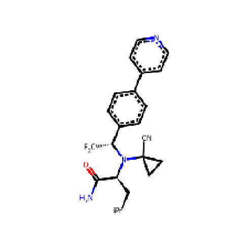 CC(C)C[C@@H](C(N)=O)N([C@@H](c1ccc(-c2ccncc2)cc1)C(F)(F)F)C1(C#N)CC1